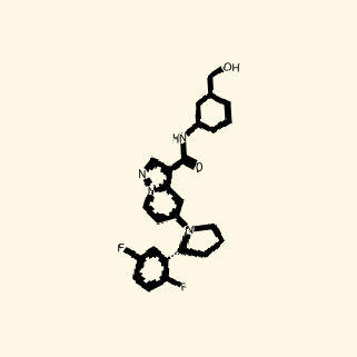 O=C(NC1CCCC(CO)C1)c1cnn2ccc(N3CCC[C@@H]3c3cc(F)ccc3F)cc12